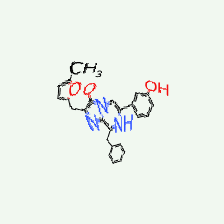 Cc1ccc(Cc2nc3c(Cc4ccccc4)[nH]c(-c4cccc(O)c4)cn-3c2=O)o1